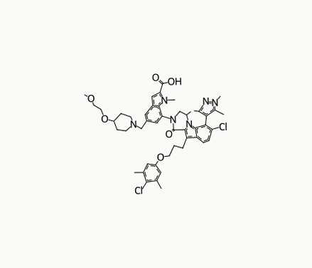 COCCOC1CCN(Cc2cc(N3CC(C)n4c(c(CCCOc5cc(C)c(Cl)c(C)c5)c5ccc(Cl)c(-c6c(C)nn(C)c6C)c54)C3=O)c3c(c2)cc(C(=O)O)n3C)CC1